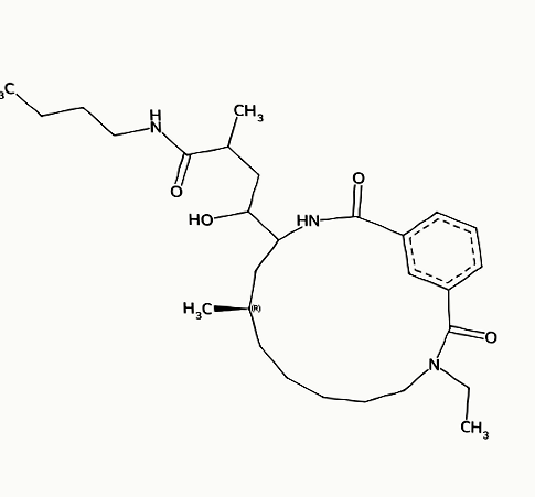 CCCCNC(=O)C(C)CC(O)C1C[C@H](C)CCCCCN(CC)C(=O)c2cccc(c2)C(=O)N1